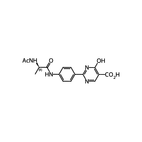 CC(=O)N[C@H](C)C(=O)Nc1ccc(-c2ncc(C(=O)O)c(O)n2)cc1